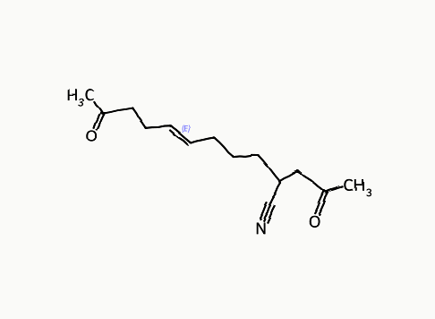 CC(=O)CC/C=C/CCCC(C#N)CC(C)=O